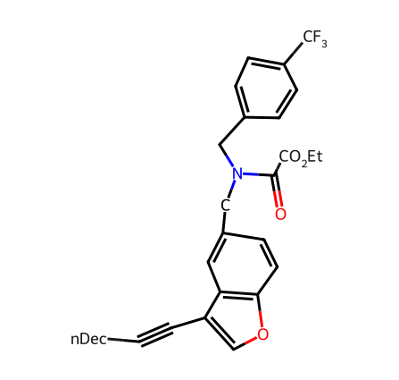 CCCCCCCCCCC#Cc1coc2ccc(CN(Cc3ccc(C(F)(F)F)cc3)C(=O)C(=O)OCC)cc12